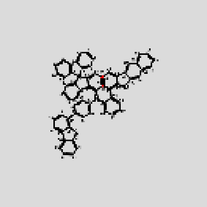 c1ccc(C2(c3ccccc3)c3ccccc3-c3c(N(c4ccc(-c5cccc6c5sc5ccccc56)cc4)c4ccccc4-c4cccc5c4oc4cc6ccccc6cc45)cccc32)cc1